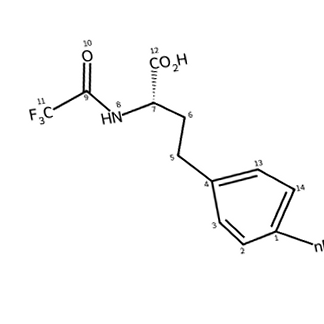 CCCc1ccc(CC[C@H](NC(=O)C(F)(F)F)C(=O)O)cc1